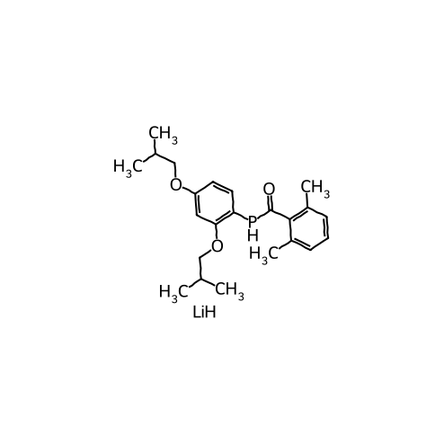 Cc1cccc(C)c1C(=O)Pc1ccc(OCC(C)C)cc1OCC(C)C.[LiH]